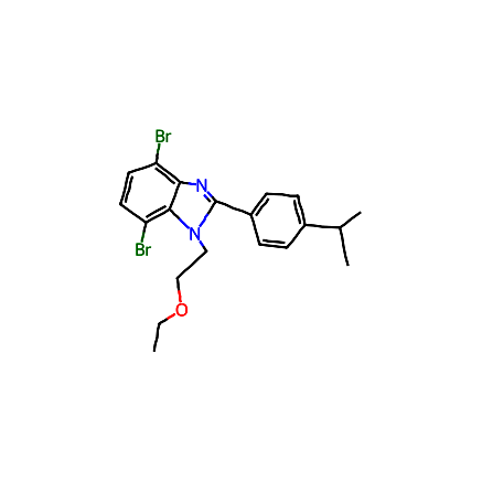 CCOCCn1c(-c2ccc(C(C)C)cc2)nc2c(Br)ccc(Br)c21